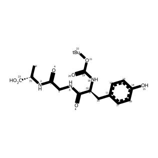 C[C@H](NC(=O)CNC(=O)[C@H](Cc1ccc(O)cc1)NC(=O)OC(C)(C)C)C(=O)O